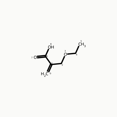 C=C(COCC)C(=O)O